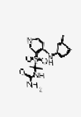 Cc1cccc(Nc2ccncc2S(=O)(=O)C(C)(C)NC(N)=O)c1